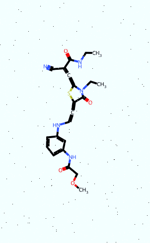 CCNC(=O)C(=C=c1sc(=C=CNc2cccc(NC(=O)COC)c2)c(=O)n1CC)C#N